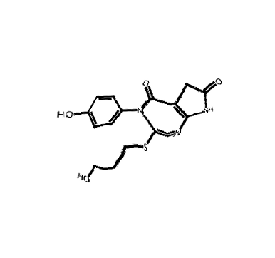 O=C1Cc2c(nc(SCCCO)n(-c3ccc(O)cc3)c2=O)N1